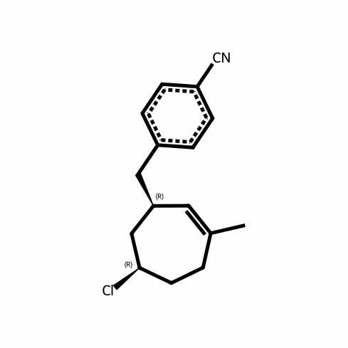 CC1=C[C@H](Cc2ccc(C#N)cc2)C[C@H](Cl)CC1